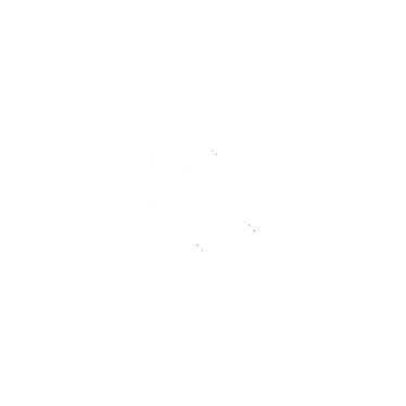 Cc1c(C(=O)O)ncc([N+](=O)[O-])c1N